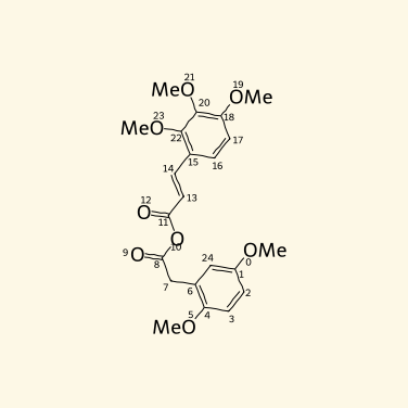 COc1ccc(OC)c(CC(=O)OC(=O)/C=C/c2ccc(OC)c(OC)c2OC)c1